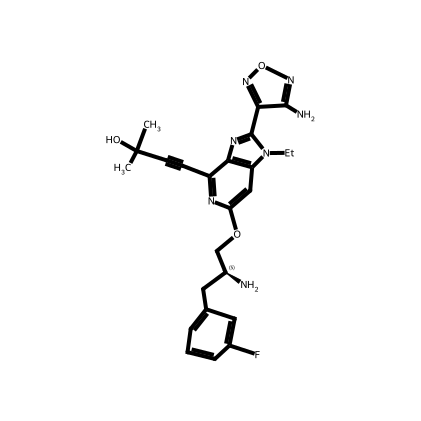 CCn1c(-c2nonc2N)nc2c(C#CC(C)(C)O)nc(OC[C@@H](N)Cc3cccc(F)c3)cc21